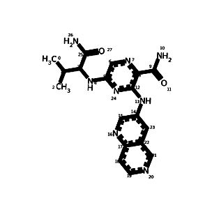 CC(C)C(Nc1cnc(C(N)=O)c(Nc2cnc3ccncc3c2)n1)C(N)=O